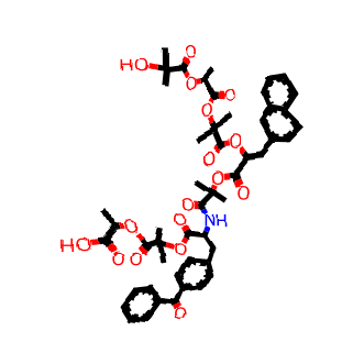 CC(OC(=O)C(C)(C)OC(=O)C(Cc1ccc(C(=O)c2ccccc2)cc1)NC(=O)C(C)(C)OC(=O)C(Cc1ccc2ccccc2c1)OC(=O)C(C)(C)OC(=O)C(C)OC(=O)C(C)(C)O)C(=O)O